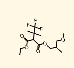 CCOC(=O)C(C(=O)OC[C@H](C)COC)C(C)(C)C(F)(F)F